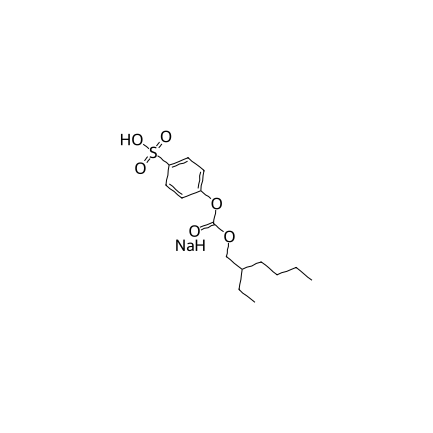 CCCCC(CC)COC(=O)Oc1ccc(S(=O)(=O)O)cc1.[NaH]